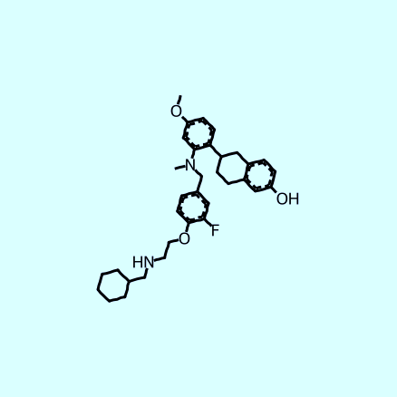 COc1ccc(C2CCc3cc(O)ccc3C2)c(N(C)Cc2ccc(OCCNCC3CCCCC3)c(F)c2)c1